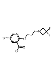 O=[N+]([O-])c1cc(Br)cnc1OCCCN1CC(F)(F)C1